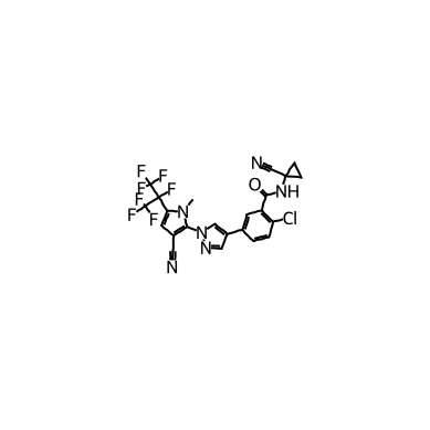 Cn1c(C(F)(C(F)(F)F)C(F)(F)F)cc(C#N)c1-n1cc(-c2ccc(Cl)c(C(=O)NC3(C#N)CC3)c2)cn1